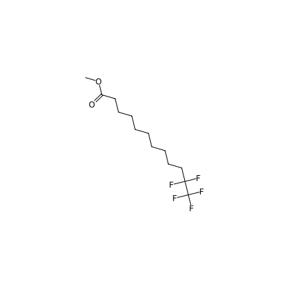 COC(=O)CCCCCCCCCC(F)(F)C(F)(F)F